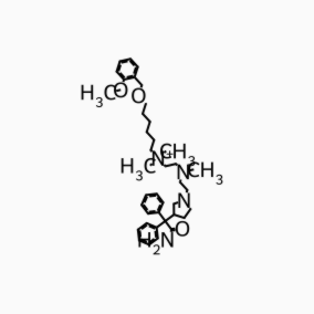 COc1ccccc1COCCCCCC[N+](C)(C)CCN(C)CCN1CCC(C(C(N)=O)(c2ccccc2)c2ccccc2)C1